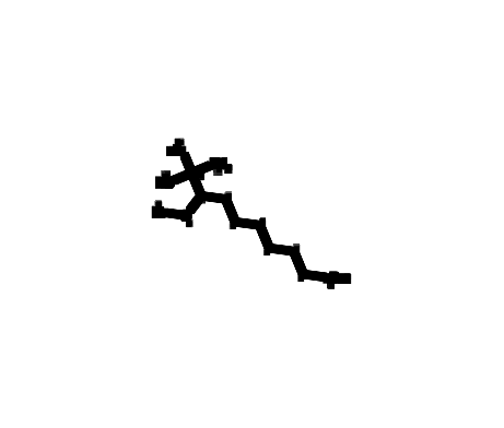 CCCCCCCCCCCCCCCCC(OCC)C(N)(O)CCC